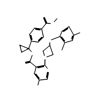 COC(=O)c1ccc(C2(NC(=O)c3cc(C)cnc3N3CC(Nc4ccc(F)cc4C)C3)CC2)cc1